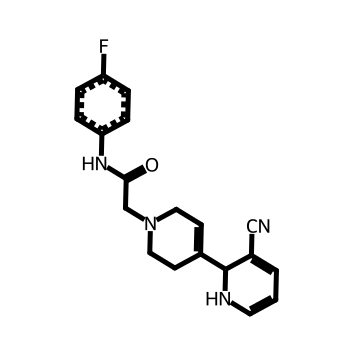 N#CC1=CC=CNC1C1=CCN(CC(=O)Nc2ccc(F)cc2)CC1